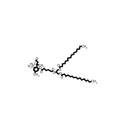 CCCCCCCCCCCCCCCC(=O)OCC(COC(=O)CCCCCCCCCCCCCCC)OC(=O)CCCCC(=O)Oc1cc(C)cc(C)c1C(C)(C)CC=O